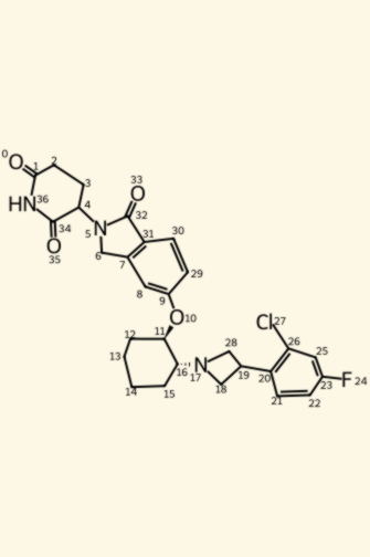 O=C1CCC(N2Cc3cc(O[C@@H]4CCCC[C@H]4N4CC(c5ccc(F)cc5Cl)C4)ccc3C2=O)C(=O)N1